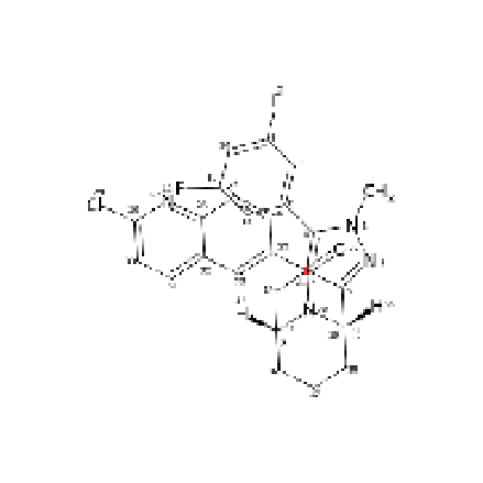 Cn1nc2c(c1-c1cc(F)cc(F)c1)C[C@H]1CCC[C@@H]2N1C(=O)c1ccc2nc(Cl)ccc2c1